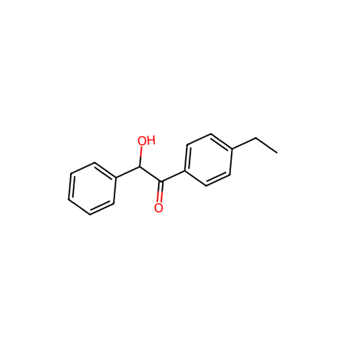 CCc1ccc(C(=O)C(O)c2ccccc2)cc1